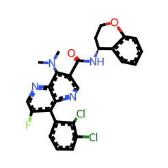 CN(C)c1c(C(=O)N[C@H]2CCOc3ccccc32)cnc2c(-c3cccc(Cl)c3Cl)c(F)cnc12